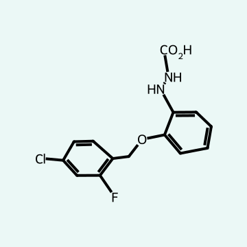 O=C(O)NNc1ccccc1OCc1ccc(Cl)cc1F